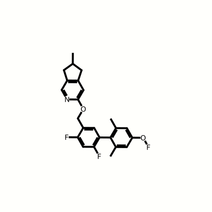 Cc1cc(OF)cc(C)c1-c1cc(COc2cc3c(cn2)CC(C)C3)c(F)cc1F